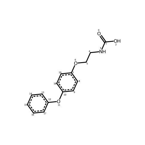 O=C(O)NCCOc1ccc(Oc2ccccc2)cc1